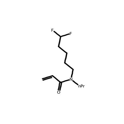 C=CC(=O)N(CCC)CCCCC(F)F